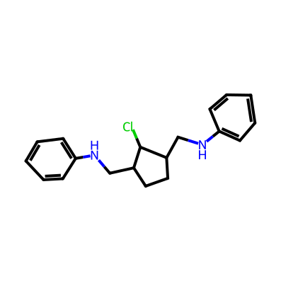 ClC1C(CNc2ccccc2)CCC1CNc1ccccc1